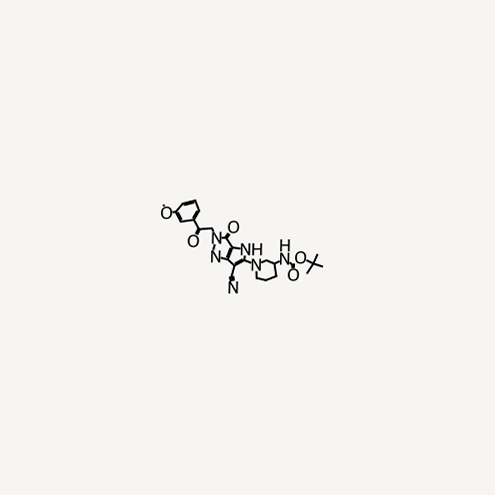 COc1cccc(C(=O)Cn2cnc3c(C#N)c(N4CCCC(NC(=O)OC(C)(C)C)C4)[nH]c3c2=O)c1